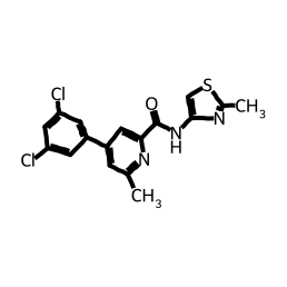 Cc1cc(-c2cc(Cl)cc(Cl)c2)cc(C(=O)Nc2csc(C)n2)n1